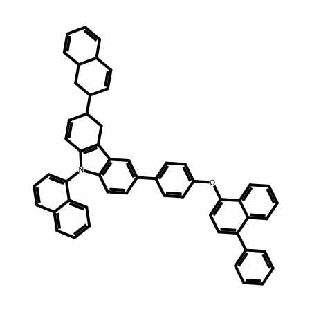 C1=CC2C=CC(C3C=Cc4c(c5cc(-c6ccc(Oc7ccc(-c8ccccc8)c8ccccc78)cc6)ccc5n4-c4cccc5ccccc45)C3)CC2C=C1